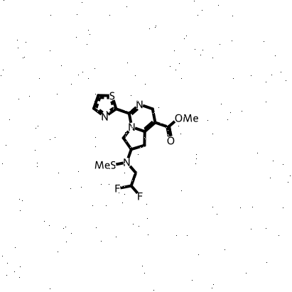 COC(=O)C1=C2CC(N(CC(F)F)SC)CN2C(c2nccs2)=NC1